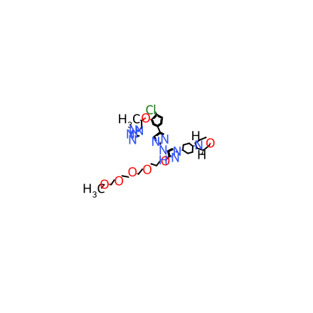 COCCOCCOCCOCCCOc1nn([C@H]2CC[C@H](N3[C@@H]4CC[C@H]3COC4)CC2)cc1Nc1ncc(-c2ccc(Cl)c(O[C@@H](C)Cn3cnnn3)c2)cn1